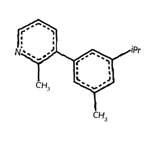 Cc1cc(-c2cccnc2C)cc(C(C)C)c1